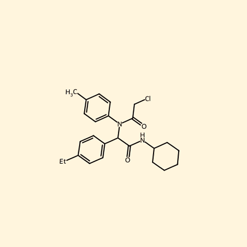 CCc1ccc(C(C(=O)NC2CCCCC2)N(C(=O)CCl)c2ccc(C)cc2)cc1